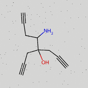 C#CCC(N)C(O)(CC#C)CC#C